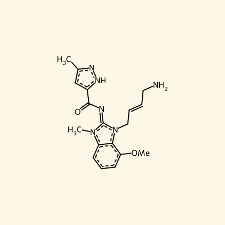 COc1cccc2c1n(C/C=C/CN)/c(=N/C(=O)c1cc(C)n[nH]1)n2C